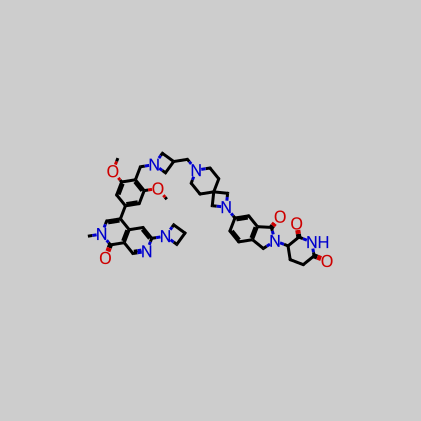 COc1cc(-c2cn(C)c(=O)c3cnc(N4CCC4)cc23)cc(OC)c1CN1CC(CN2CCC3(CC2)CN(c2ccc4c(c2)C(=O)N(C2CCC(=O)NC2=O)C4)C3)C1